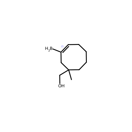 B/C1=C/CCCCC(C)(CO)C1